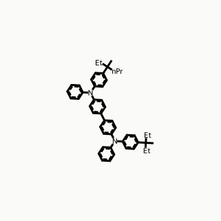 CCCC(C)(CC)c1ccc(N(c2ccccc2)c2ccc(-c3ccc(N(c4ccccc4)c4ccc(C(C)(CC)CC)cc4)cc3)cc2)cc1